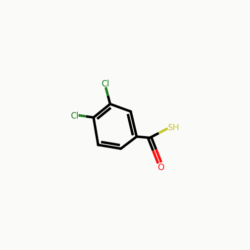 O=C(S)c1ccc(Cl)c(Cl)c1